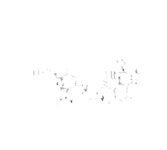 CCc1nc2ccc(CN3CCN(c4ccc(C=O)nc4C(F)F)CC3)c(F)c2[nH]c1=O